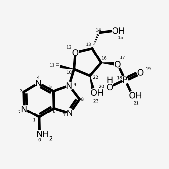 Nc1ncnc2c1ncn2[C@]1(F)O[C@H](CO)[C@@H](OP(=O)(O)O)[C@H]1O